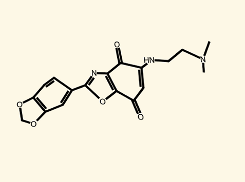 CN(C)CCNC1=CC(=O)c2oc(-c3ccc4c(c3)OCO4)nc2C1=O